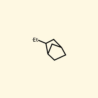 C[CH]C1CC2CCC1C2